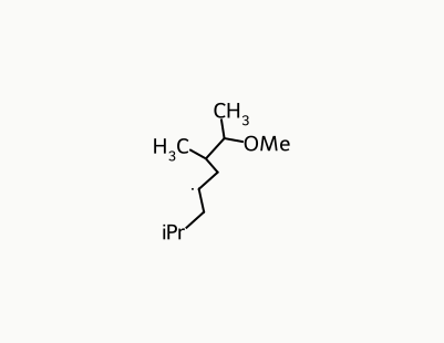 COC(C)C(C)C[CH]CC(C)C